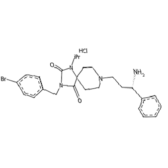 CC(C)N1C(=O)N(Cc2ccc(Br)cc2)C(=O)C12CCN(CC[C@H](N)c1ccccc1)CC2.Cl